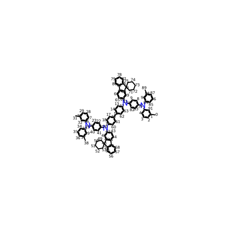 Cc1cccc(N(c2ccc(N(c3ccc(-c4ccc(N(c5ccc(N(c6cccc(C)c6)c6cccc(C)c6)cc5)c5ccc6c(c5)C5(CCCCC5)c5ccccc5-6)cc4)cc3)c3ccc4c(c3)C3(CCCCC3)c3ccccc3-4)cc2)c2cccc(C)c2)c1